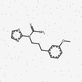 COc1cccc(CCCN(C(N)=S)c2nccs2)c1